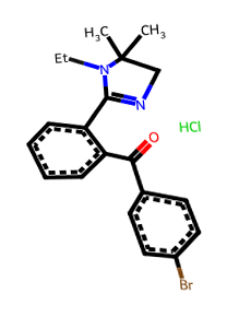 CCN1C(c2ccccc2C(=O)c2ccc(Br)cc2)=NCC1(C)C.Cl